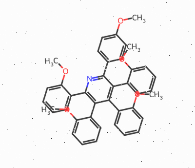 COc1ccc(-c2nc(-c3ccccc3OC)c(-c3ccccc3OC)c(-c3ccccc3OC)c2-c2ccccc2OC)cc1